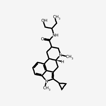 CCC(CO)NC(=O)C1CC2c3cccc4c3c(c(C3CC3)n4C)C[C@H]2N(C)C1